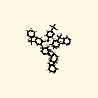 CC(C)(C)c1ccc(Nc2cc3c(cc2-c2ccc4c5c6oc7ccccc7c6ccc5n5c4c2Bc2cc4c(cc2-5)-c2ccccc2C4(C)C)C(C)(C)c2ccccc2-3)cc1